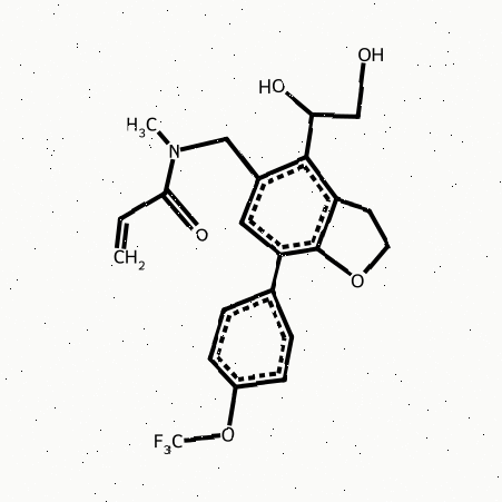 C=CC(=O)N(C)Cc1cc(-c2ccc(OC(F)(F)F)cc2)c2c(c1C(O)CO)CCO2